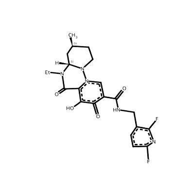 CCN1C(=O)c2c(O)c(=O)c(C(=O)NCc3ccc(F)nc3F)cn2N2CC[C@H](C)C[C@@H]12